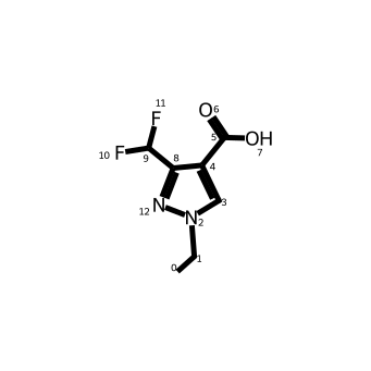 CCn1cc(C(=O)O)c(C(F)F)n1